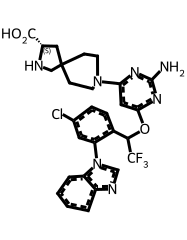 Nc1nc(OC(c2ccc(Cl)cc2-n2cnc3ccccc32)C(F)(F)F)cc(N2CCC3(CC2)CN[C@H](C(=O)O)C3)n1